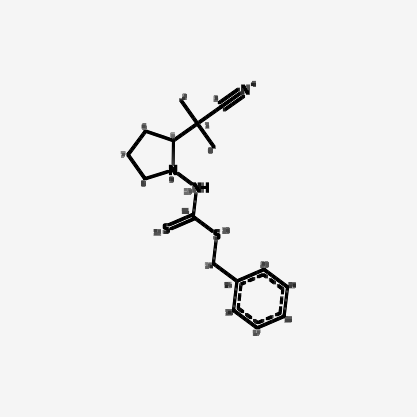 CC(C)(C#N)C1CCCN1NC(=S)SCc1ccccc1